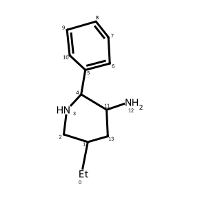 CCC1CNC(c2ccccc2)C(N)C1